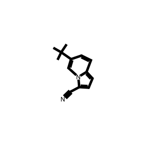 CC(C)(C)c1ccc2ccc(C#N)n2c1